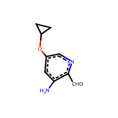 Nc1cc(OC2CC2)cnc1C=O